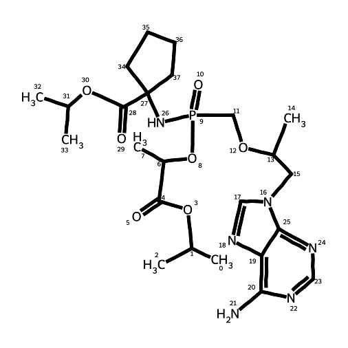 CC(C)OC(=O)C(C)OP(=O)(COC(C)Cn1cnc2c(N)ncnc21)NC1(C(=O)OC(C)C)CCCC1